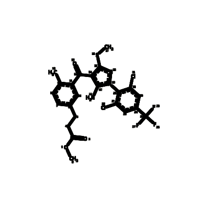 COC(=O)CCc1ccc(C)c(C(=O)c2c(SC)nn(-c3c(Cl)cc(C(F)(F)F)cc3Cl)c2N)c1